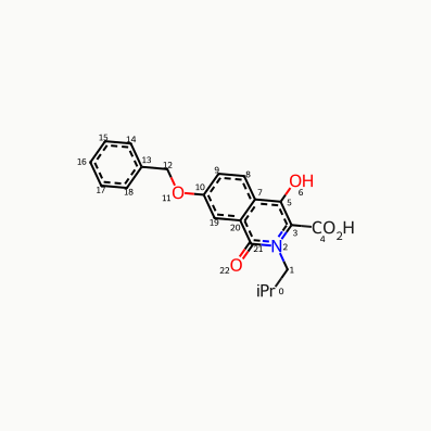 CC(C)Cn1c(C(=O)O)c(O)c2ccc(OCc3ccccc3)cc2c1=O